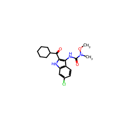 CON(C)C(=O)Nc1c(C(=O)C2CCCCC2)[nH]c2cc(Cl)ccc12